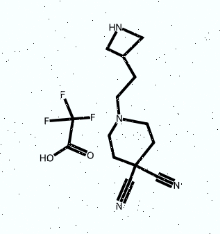 N#CC1(C#N)CCN(CCC2CNC2)CC1.O=C(O)C(F)(F)F